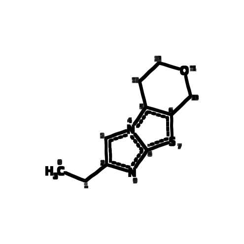 CCc1cn2c3c(sc2n1)COCC3